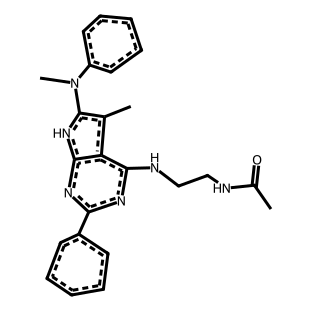 CC(=O)NCCNc1nc(-c2ccccc2)nc2[nH]c(N(C)c3ccccc3)c(C)c12